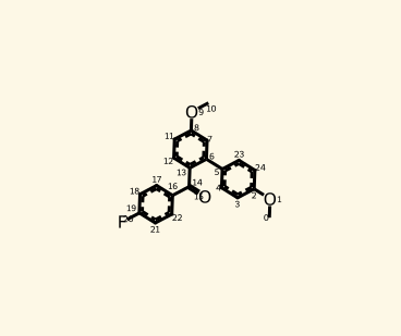 COc1ccc(-c2cc(OC)ccc2C(=O)c2ccc(F)cc2)cc1